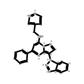 c1ccc(-c2cc(NCc3ccnnc3)n3ncc(-n4nnc5ccccc54)c3n2)cc1